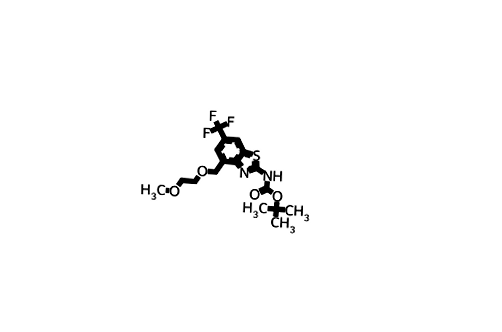 COCCOCc1cc(C(F)(F)F)cc2sc(NC(=O)OC(C)(C)C)nc12